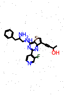 CC(O)C#Cc1csc2c(NCC(N)Cc3ccccc3)nc(-c3ccncc3F)nc12